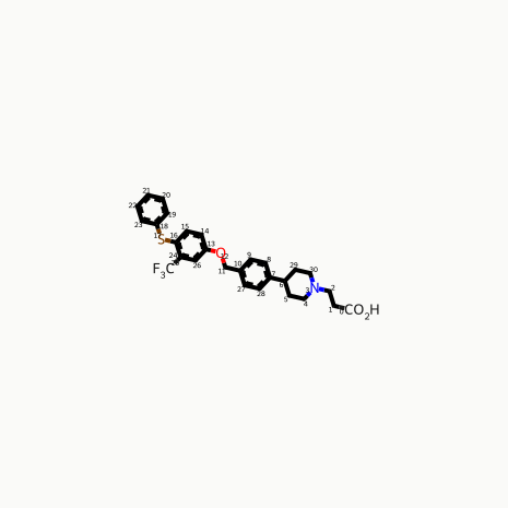 O=C(O)CCN1CCC(c2ccc(COc3ccc(Sc4ccccc4)c(C(F)(F)F)c3)cc2)CC1